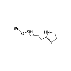 CC(C)O[SiH2]CCCC1=NCCN1